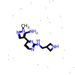 Cn1ncc(-c2ccnc(NCC3CNC3)n2)c1N